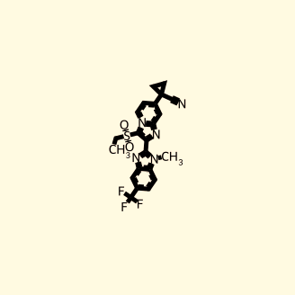 CCS(=O)(=O)c1c(-c2nc3cc(C(F)(F)F)ccc3n2C)nc2cc(C3(C#N)CC3)ccn12